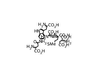 CC[C@H](C)[C@H](N)C(=O)O.CSCC[C@H](N)C(=O)O.NC(=O)C[C@H](N)C(=O)O.N[C@@H](CC(=O)O)C(=O)O.N[C@@H](Cc1c[nH]c2ccccc12)C(=O)O